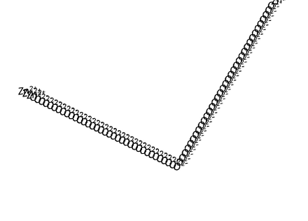 [O-2].[O-2].[O-2].[O-2].[O-2].[O-2].[O-2].[O-2].[O-2].[O-2].[O-2].[O-2].[O-2].[O-2].[O-2].[O-2].[O-2].[O-2].[O-2].[O-2].[O-2].[O-2].[O-2].[O-2].[O-2].[O-2].[O-2].[O-2].[O-2].[O-2].[O-2].[O-2].[O-2].[O-2].[O-2].[O-2].[O-2].[O-2].[O-2].[O-2].[O-2].[O-2].[O-2].[O-2].[O-2].[O-2].[O-2].[O-2].[O-2].[O-2].[O-2].[O-2].[O-2].[O-2].[O-2].[O-2].[O-2].[O-2].[O-2].[O-2].[O-2].[O-2].[O-2].[O-2].[O-2].[O-2].[O-2].[O-2].[O-2].[O-2].[Zn+2].[Zn+2].[Zn+2].[Zn+2].[Zn+2]